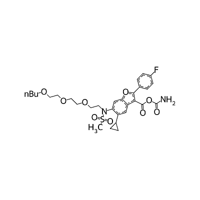 CCCCOCCOCCOCCN(c1cc2oc(-c3ccc(F)cc3)c(C(=O)OC(N)=O)c2cc1C1CC1)S(C)(=O)=O